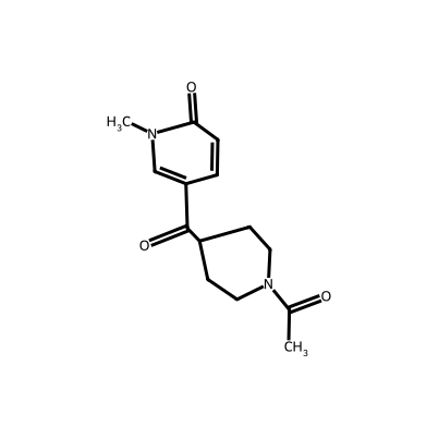 CC(=O)N1CCC(C(=O)c2ccc(=O)n(C)c2)CC1